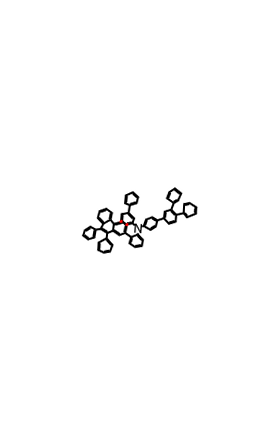 c1ccc(-c2cccc(N(c3ccc(-c4ccc(-c5ccccc5)c(-c5ccccc5)c4)cc3)c3ccccc3-c3ccc4c(c3)c(-c3ccccc3)c(-c3ccccc3)c3ccccc34)c2)cc1